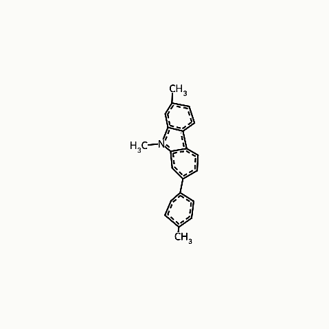 Cc1ccc(-c2ccc3c4ccc(C)cc4n(C)c3c2)cc1